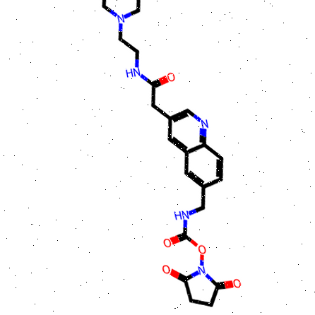 CCN(CC)CCNC(=O)Cc1cnc2ccc(CNC(=O)ON3C(=O)CCC3=O)cc2c1